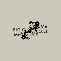 CCOC(=O)Cc1cc(-c2c(OC)cccc2OC(C)C)sc1-c1sc2c(OC)c(-c3sc(-c4c(OC)cccc4OC(C)C)cc3CC(=O)OCC)sc2c1OC